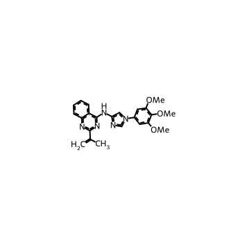 C=C(C)c1nc(Nc2cn(-c3cc(OC)c(OC)c(OC)c3)cn2)c2ccccc2n1